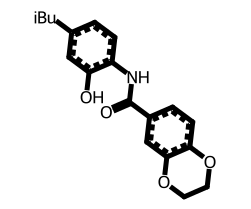 CCC(C)c1ccc(NC(=O)c2ccc3c(c2)OCCO3)c(O)c1